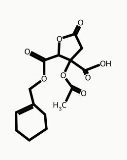 CC(=O)OC1(C(=O)O)CC(=O)OC1C(=O)OCC1=CCCCC1